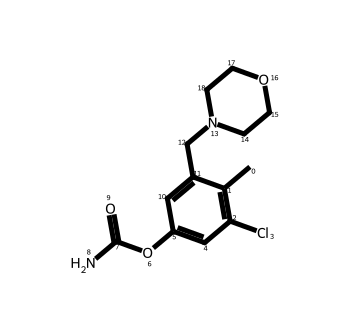 Cc1c(Cl)cc(OC(N)=O)cc1CN1CCOCC1